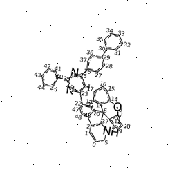 C1=CC2=C(NC1)C1(c3ccccc3Oc3ccccc31)c1cc(-c3cc(-c4ccc(-c5ccccc5)cc4)nc(-c4ccccc4)n3)ccc12